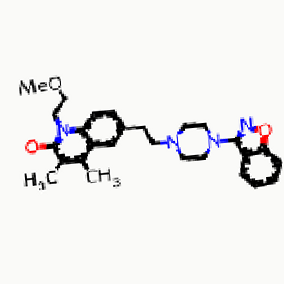 COCCn1c(=O)c(C)c(C)c2cc(CCN3CCN(c4noc5ccccc45)CC3)ccc21